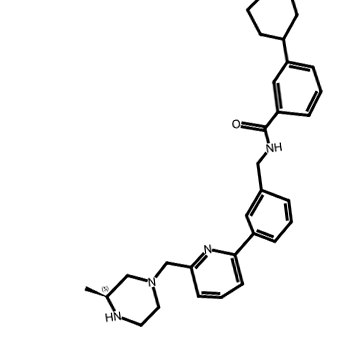 C[C@H]1CN(Cc2cccc(-c3cccc(CNC(=O)c4cccc(C5CCNCC5)c4)c3)n2)CCN1